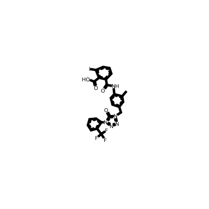 Cc1cc(Cn2nnn(-c3ccccc3C(F)(F)F)c2=O)ccc1NC(=O)c1cccc(I)c1C(=O)O